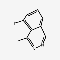 Ic1cccc2cnnc(I)c12